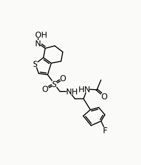 CC(=O)NC(CNCS(=O)(=O)c1csc2c1CCCC2=NO)c1ccc(F)cc1